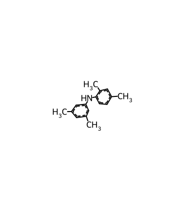 Cc1cc(C)cc(Nc2ccc(C)cc2C)c1